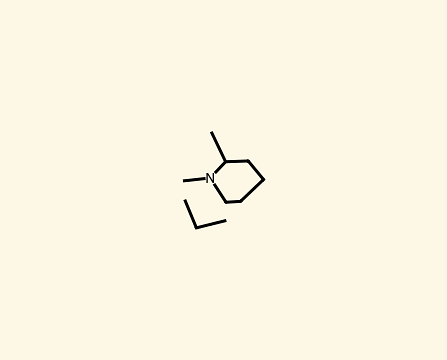 CC1CCCCN1C.CCC